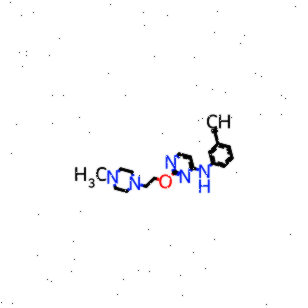 C#Cc1cccc(Nc2ccnc(OCCN3CCN(C)CC3)n2)c1